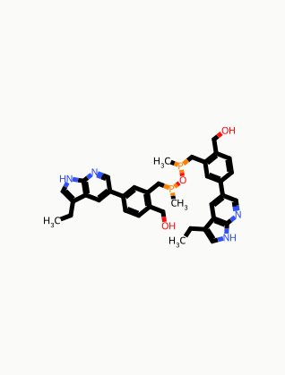 CCc1c[nH]c2ncc(-c3ccc(CO)c(CP(C)OP(C)Cc4cc(-c5cnc6[nH]cc(CC)c6c5)ccc4CO)c3)cc12